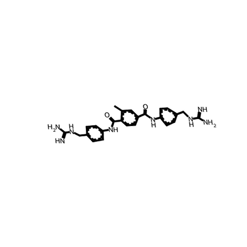 Cc1cc(C(=O)Nc2ccc(CNC(=N)N)cc2)ccc1C(=O)Nc1ccc(CNC(=N)N)cc1